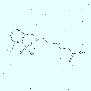 Cc1cccc(OOCCCCCC(=O)O)c1S(=O)(=O)O